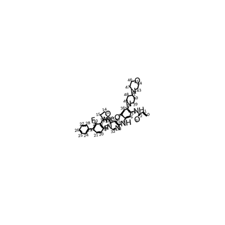 C=CC(=O)Nc1cc(Nc2cc(N3OCCC3c3c(F)ccc(-c4ccccc4)c3F)ncn2)c(OC)cc1N1CCC(N2CCOCC2)CC1